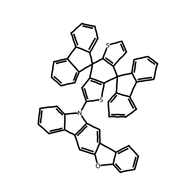 c1ccc2c(c1)-c1ccccc1C21c2cc(-n3c4ccccc4c4cc5oc6ccccc6c5cc43)sc2C2(c3ccccc3-c3ccccc32)c2ccsc21